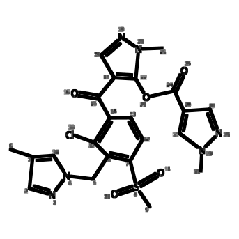 Cc1cnn(Cc2c(S(C)(=O)=O)ccc(C(=O)c3cnn(C)c3OC(=O)c3cnn(C)c3)c2Cl)c1